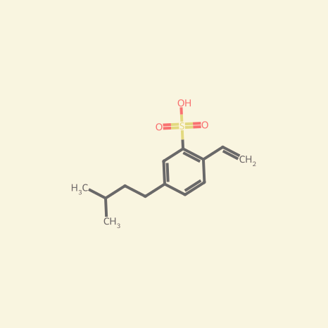 C=Cc1ccc(CCC(C)C)cc1S(=O)(=O)O